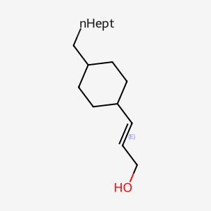 CCCCCCCCC1CCC(/C=C/CO)CC1